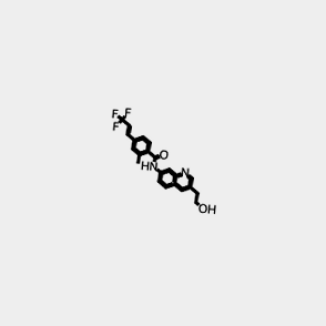 Cc1cc(C=CC(F)(F)F)ccc1C(=O)Nc1ccc2cc(CCO)cnc2c1